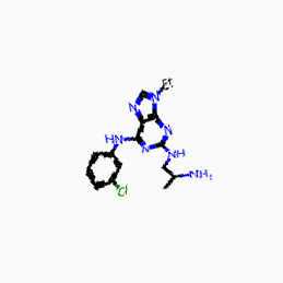 CCn1cnc2c(Nc3cccc(Cl)c3)nc(NCC(C)N)nc21